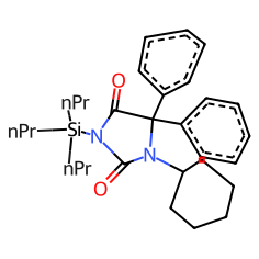 CCC[Si](CCC)(CCC)N1C(=O)N(C2CCCCC2)C(c2ccccc2)(c2ccccc2)C1=O